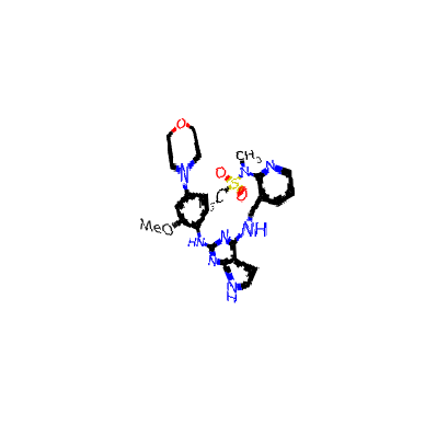 COc1cc(N2CCOCC2)ccc1Nc1nc(NCc2cccnc2N(C)S(C)(=O)=O)c2cc[nH]c2n1